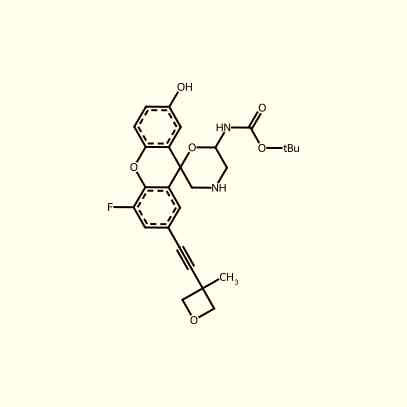 CC1(C#Cc2cc(F)c3c(c2)C2(CNCC(NC(=O)OC(C)(C)C)O2)c2cc(O)ccc2O3)COC1